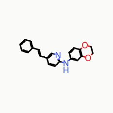 C(=Cc1ccc(Nc2ccc3c(c2)OCCO3)nc1)c1ccccc1